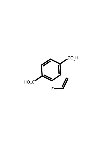 C=CF.O=C(O)c1ccc(C(=O)O)cc1